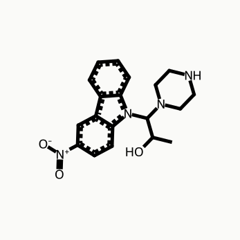 CC(O)C(N1CCNCC1)n1c2ccccc2c2cc([N+](=O)[O-])ccc21